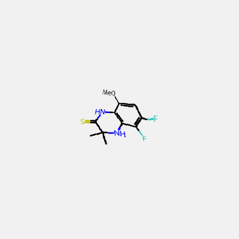 COc1cc(F)c(F)c2c1NC(=S)C(C)(C)N2